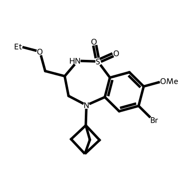 CCOCC1CN(C23CC(C2)C3)c2cc(Br)c(OC)cc2S(=O)(=O)N1